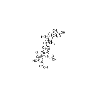 C[C@H](CCC(=O)O)[C@H]1CC[C@H]2[C@@H]3[C@@H](O)C[C@@H]4C[C@@H](NC(=O)CCC(C(=O)O)N(CCN(CC(=O)O)CC(=O)O)CCN(CC(=O)O)CC(=O)O)CC[C@]4(C)[C@H]3CC[C@]12C